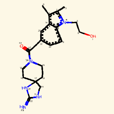 Cc1c(C)n(CCO)c2ccc(C(=O)N3CCC4(CC3)CNC(=N)N4)cc12